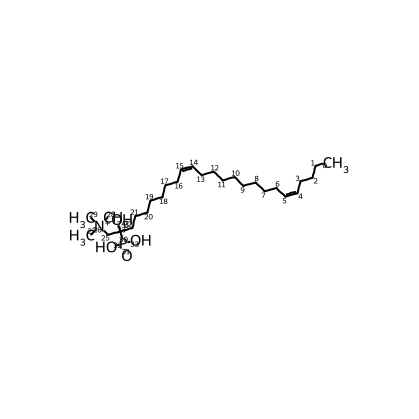 CCCC/C=C\CCCCCCCC/C=C\CCCCCCCC(O)(C[N+](C)(C)C)P(=O)(O)O